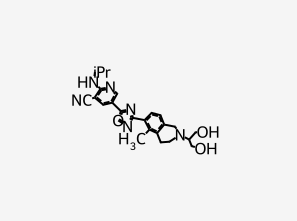 Cc1c(-c2noc(-c3cnc(NC(C)C)c(C#N)c3)n2)ccc2c1CCN(C(CO)CO)C2